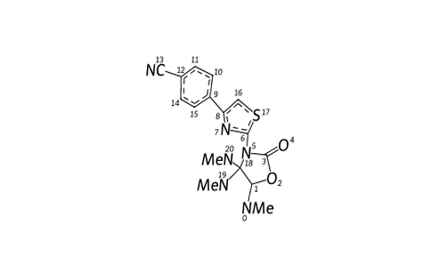 CNC1OC(=O)N(c2nc(-c3ccc(C#N)cc3)cs2)C1(NC)NC